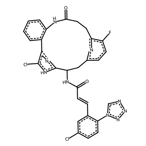 O=C(/C=C/c1cc(Cl)ccc1-n1cnnn1)NC1Cc2ccc(F)c(n2)CCC(=O)Nc2ccccc2-c2nc1[nH]c2Cl